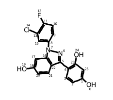 Oc1ccc(-c2nn(-c3ccc(F)c(Cl)c3)c3cc(O)ccc23)c(O)c1